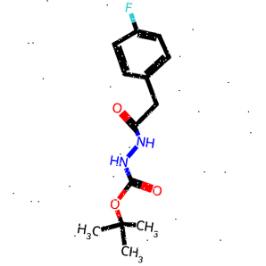 CC(C)(C)OC(=O)NNC(=O)Cc1ccc(F)cc1